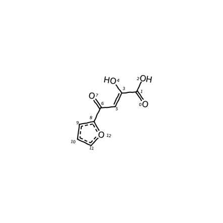 O=C(O)/C(O)=C/C(=O)c1ccco1